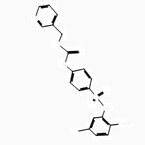 COc1ccc(Cl)cc1NS(=O)(=O)c1ccc(NC(=O)NCc2cccnc2)cc1